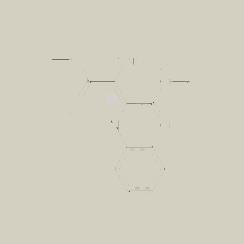 COC(=O)/C(Br)=C(\Nc1ccccc1)C(=O)OC